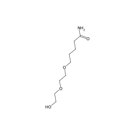 NC(=O)CCCCOCCOCCO